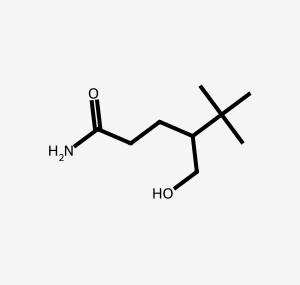 CC(C)(C)C(CO)CCC(N)=O